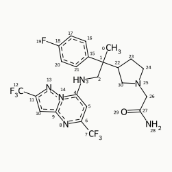 CC(CNc1cc(C(F)(F)F)nc2cc(C(F)(F)F)nn12)(c1ccc(F)cc1)C1CCN(CC(N)=O)C1